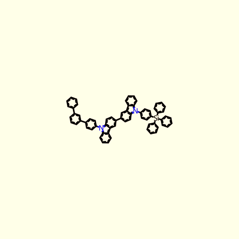 c1ccc(-c2cccc(-c3ccc(-n4c5ccccc5c5cc(-c6ccc7c(c6)c6ccccc6n7-c6ccc([Si](c7ccccc7)(c7ccccc7)c7ccccc7)cc6)ccc54)cc3)c2)cc1